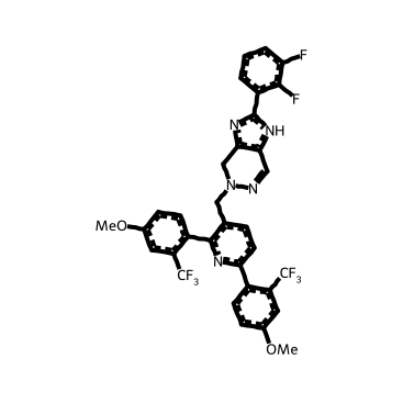 COc1ccc(-c2ccc(CN3Cc4nc(-c5cccc(F)c5F)[nH]c4C=N3)c(-c3ccc(OC)cc3C(F)(F)F)n2)c(C(F)(F)F)c1